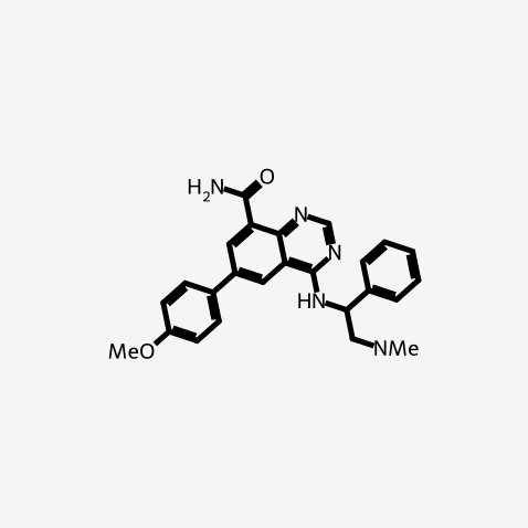 CNCC(Nc1ncnc2c(C(N)=O)cc(-c3ccc(OC)cc3)cc12)c1ccccc1